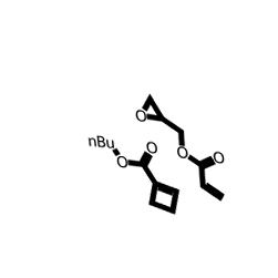 C=CC(=O)OCC1CO1.CCCCOC(=O)C1=CCC1